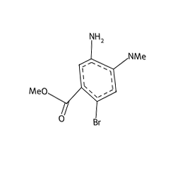 CNc1cc(Br)c(C(=O)OC)cc1N